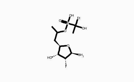 B[C@@H]1O[C@H](CC(C)OP(=O)(O)C(C)(O)CC)[C@@H](O)[C@H]1F